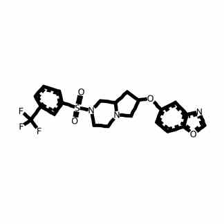 O=S(=O)(c1cccc(C(F)(F)F)c1)N1CCN2CC(Oc3ccc4ocnc4c3)CC2C1